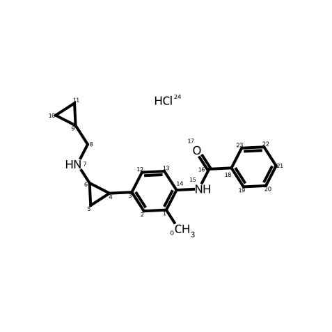 Cc1cc(C2CC2NCC2CC2)ccc1NC(=O)c1ccccc1.Cl